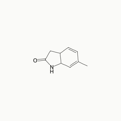 CC1=CC2NC(=O)CC2C=C1